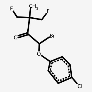 CC(CF)(CF)C(=O)C(Br)Oc1ccc(Cl)cc1